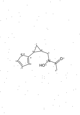 CC(=O)N(O)CC1CC1c1cccs1